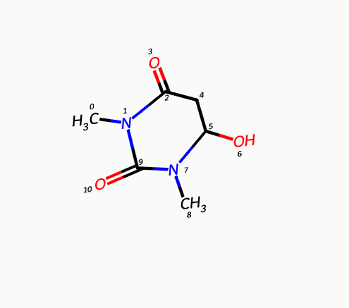 CN1C(=O)CC(O)N(C)C1=O